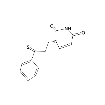 O=c1ccn(CCC(=S)c2ccccc2)c(=O)[nH]1